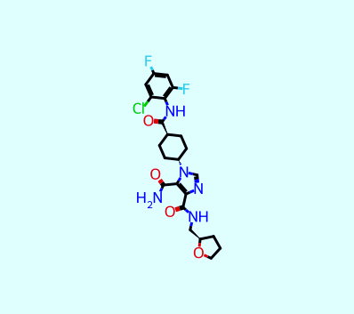 NC(=O)c1c(C(=O)NC[C@H]2CCCO2)ncn1[C@H]1CC[C@H](C(=O)Nc2c(F)cc(F)cc2Cl)CC1